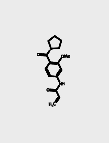 C=CC(=O)Nc1ccc(C(=O)N2CCCC2)c(OC)c1